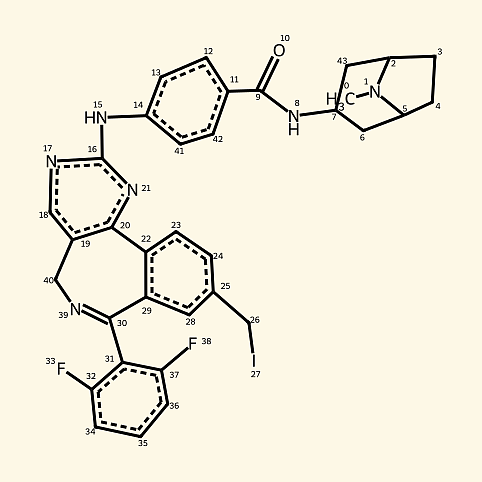 CN1C2CCC1CC(NC(=O)c1ccc(Nc3ncc4c(n3)-c3ccc(CI)cc3C(c3c(F)cccc3F)=NC4)cc1)C2